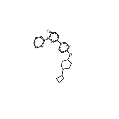 O=c1ccc(-c2ccc(OC3CCN(C4CCC4)CC3)nc2)nn1-c1ccccn1